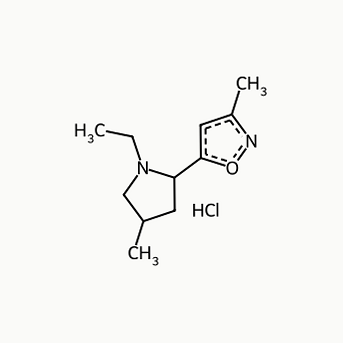 CCN1CC(C)CC1c1cc(C)no1.Cl